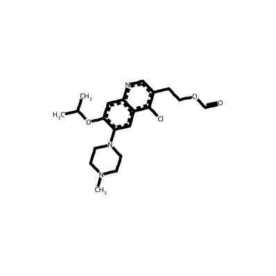 CC(C)Oc1cc2ncc(CCOC=O)c(Cl)c2cc1N1CCN(C)CC1